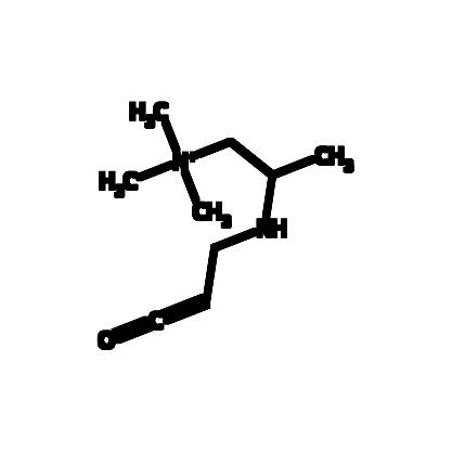 CC(C[N+](C)(C)C)NCC=C=O